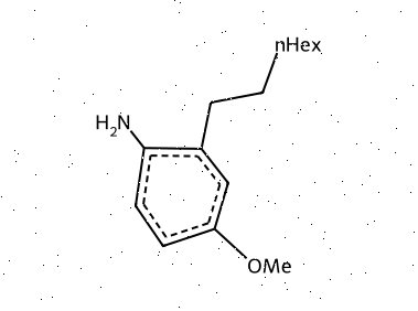 CCCCCCCCc1cc(OC)ccc1N